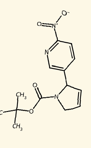 CC(C)(C)OC(=O)N1CC=CC1c1ccc([N+](=O)[O-])nc1